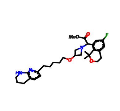 COC(=O)C(c1cc(F)cc2c1C(C)(C)OCC2)N1CC(OCCCCCc2ccc3c(n2)NCCC3)C1